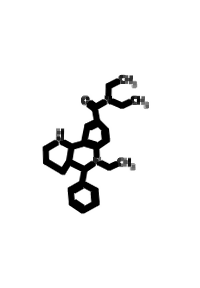 CCN(CC)C(=O)c1ccc2c(c1)C1NCCCC1C(c1ccccc1)N2CC